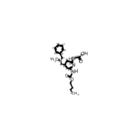 CCCCOC(=O)Nc1cc(CN(C)Cc2ccccc2)cc(NC(=O)O)n1